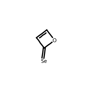 [Se]=C1C=CO1